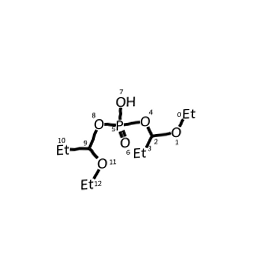 CCOC(CC)OP(=O)(O)OC(CC)OCC